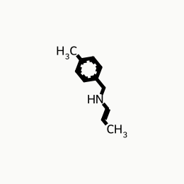 CC=CNCc1ccc(C)cc1